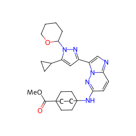 COC(=O)C12CCC(Nc3ccc4ncc(-c5cc(C6CC6)n(C6CCCCO6)n5)n4n3)(CC1)CC2